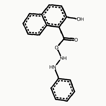 O=C(ONNc1ccccc1)c1c(O)ccc2ccccc12